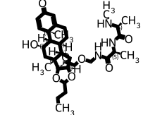 CCCC1O[C@@H]2C[C@H]3[C@@H]4CCC5=CC(=O)C=C[C@]5(C)[C@H]4[C@@H](O)C[C@]3(C)[C@]2(C(=O)COCNC(=O)[C@H](C)NC(=O)[C@H](C)NC)O1